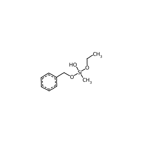 CCO[Si](C)(O)OCc1ccccc1